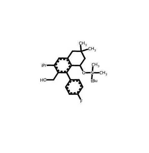 CC(C)c1cc2c(c(-c3ccc(F)cc3)c1CO)C(O[Si](C)(C)C(C)(C)C)CC(C)(C)C2